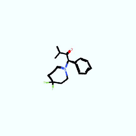 CC(C)C(=O)C(c1ccccc1)N1CCC(F)(F)CC1